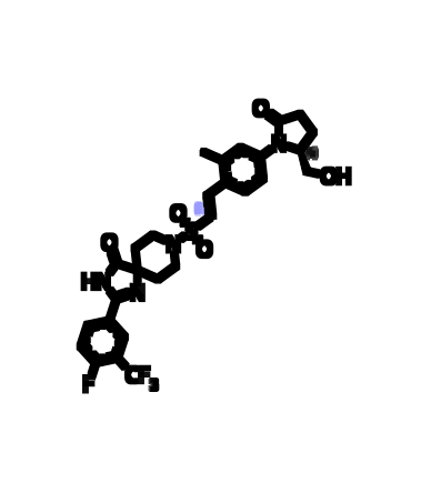 Cc1cc(N2C(=O)CC[C@H]2CO)ccc1/C=C/S(=O)(=O)N1CCC2(CC1)N=C(c1ccc(F)c(C(F)(F)F)c1)NC2=O